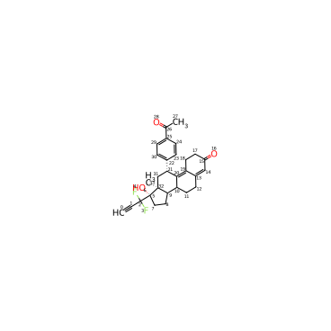 C#CC(F)(F)[C@]1(O)CCC2C3CCC4=CC(=O)CCC4=C3[C@@H](c3ccc(C(C)=O)cc3)C[C@@]21C